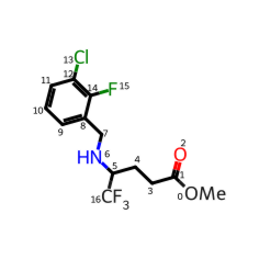 COC(=O)CCC(NCc1cccc(Cl)c1F)C(F)(F)F